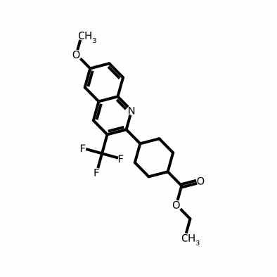 CCOC(=O)C1CCC(c2nc3ccc(OC)cc3cc2C(F)(F)F)CC1